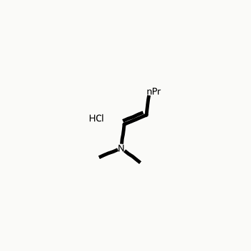 CCCC=CN(C)C.Cl